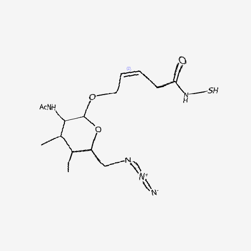 CC(=O)NC1C(OC/C=C\CC(=O)NS)OC(CN=[N+]=[N-])C(C)C1C